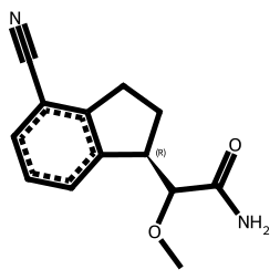 COC(C(N)=O)[C@@H]1CCc2c(C#N)cccc21